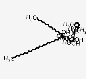 CCCCCCCCCCCCCCCCCCCCCCCCCCN[C@@H](CO[C@@H]1O[C@H](COC(=S)Nc2c(C)cccc2C)[C@H](O)[C@H](O)[C@H]1O)[C@H](O)[C@H](O)CCCCCCCCCCCCCC